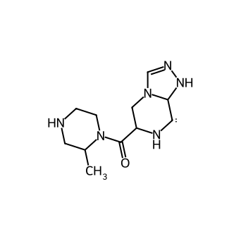 CC1CNCCN1C(=O)C1CN2C=NNC2[C]N1